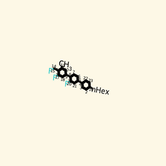 CCCCCCc1ccc(-c2ccc(-c3cc(C)c(CF)c(F)c3)c(F)c2)cc1